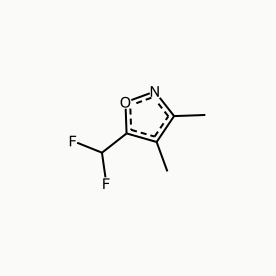 Cc1noc(C(F)F)c1C